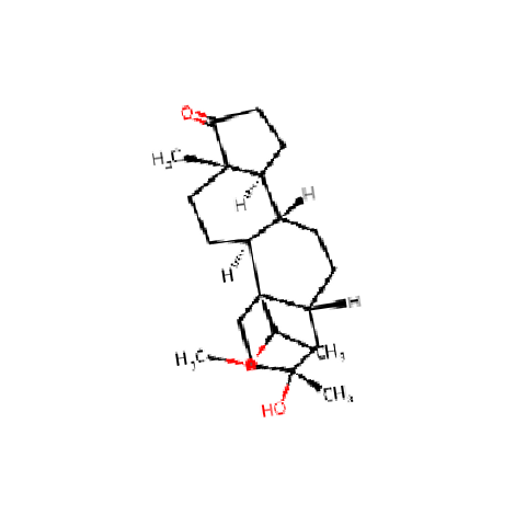 COC(C)[C@]12CC[C@@](C)(O)C[C@H]1CC[C@@H]1[C@@H]2CC[C@]2(C)C(=O)CC[C@@H]12